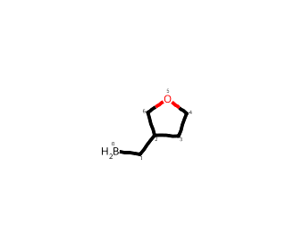 BCC1CCOC1